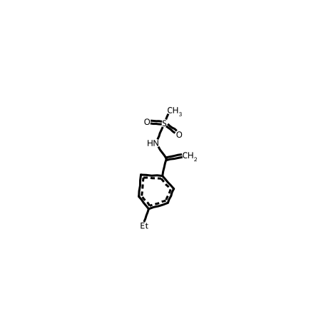 C=C(NS(C)(=O)=O)c1ccc(CC)cc1